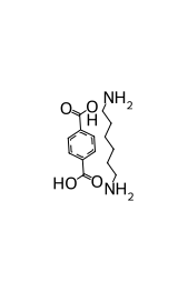 NCCCCCCN.O=C(O)c1ccc(C(=O)O)cc1